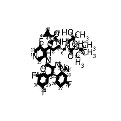 CC(O)(O)CN(C[C@H](CCc1c(F)cncc1NC(=O)[C@@H](N=[N+]=[N-])[C@@H](c1ccc(F)cc1)c1cc(F)cc(F)c1)NS(=O)(=O)C1CC1)C(=O)OC(C)(C)C